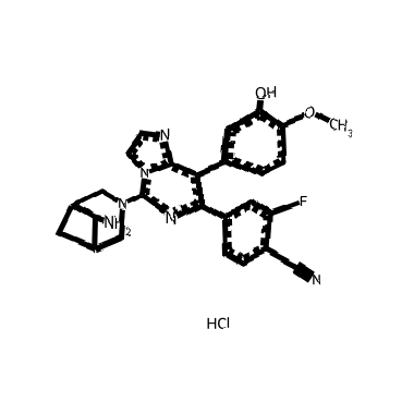 COc1ccc(-c2c(-c3ccc(C#N)c(F)c3)nc(N3CC4CC(C3)C4N)n3ccnc23)cc1O.Cl